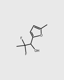 Cc1ccc(C(O)C(C)(F)F)o1